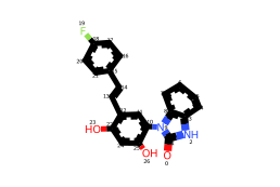 O=c1[nH]c2ccccc2n1-c1cc(C=Cc2ccc(F)cc2)c(O)cc1O